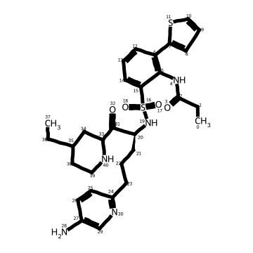 CCC(=O)Nc1c(-c2cccs2)cccc1S(=O)(=O)N[C@@H](CCCc1ccc(N)cn1)C(=O)C1CC(CC)CCN1